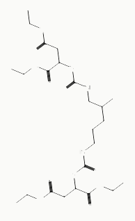 CCOC(=O)CC(NC(=O)NCCCC(C)CNC(=O)NC(CC(=O)OCC)C(=O)OCC)C(=O)OCC